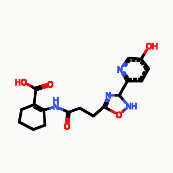 O=C(CCC1=NC(c2ccc(O)cn2)NO1)NC1=C(C(=O)O)CCCC1